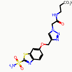 NS(=O)(=O)c1nc2ccc(OCc3cn(CC(=O)NCCC(=O)O)nn3)cc2s1